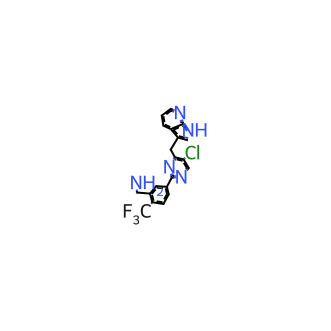 NCc1cc(-c2ncc(Cl)c(Cc3c[nH]c4ncccc34)n2)ccc1C(F)(F)F